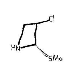 CS[C@@H]1NCC1Cl